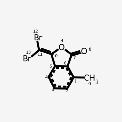 Cc1cccc2c1C(=O)OC2=C(Br)Br